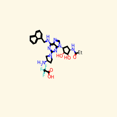 CCC(=O)N[C@H]1C[C@@H](n2cnc3c(NCc4cccc5ccccc45)nc(N4CC[C@@H](N)C4)nc32)[C@H](O)[C@@H]1O.O=C(O)C(F)(F)F